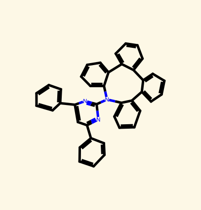 c1ccc(-c2cc(-c3ccccc3)nc(-n3c4ccccc4c4ccccc4c4ccccc4c4ccccc43)n2)cc1